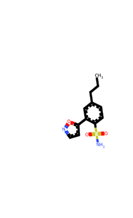 CCCc1ccc(S(N)(=O)=O)c(-c2ccno2)c1